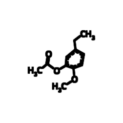 CCc1ccc(OC)c(OC(C)=O)c1